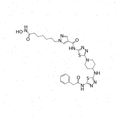 O=C(CCCCCCn1cc(C(=O)Nc2nnc(N3CCC(Nc4nnc(NC(=O)Cc5ccccc5)s4)CC3)s2)cn1)NO